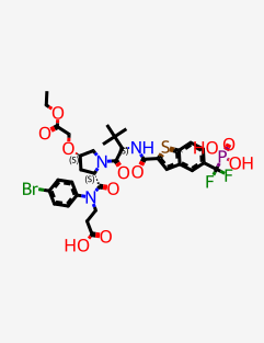 CCOC(=O)CO[C@H]1C[C@@H](C(=O)N(CCC(=O)O)c2ccc(Br)cc2)N(C(=O)[C@@H](NC(=O)c2cc3cc(C(F)(F)P(=O)(O)O)ccc3s2)C(C)(C)C)C1